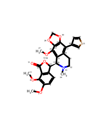 COc1ccc2c(c1OC)C(=O)OC2[C@H]1c2c(c(-c3ccsc3)c3c(c2OC)OCO3)CCN1C